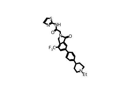 CCN1CCC(c2ccc(-c3cc4c(c(C(F)(F)F)c3)CN(CC(=O)Nc3nccs3)C4=O)cc2)CC1